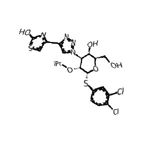 CC(C)O[C@@H]1[C@@H](n2cc(-c3csc(O)n3)nn2)[C@@H](O)[C@@H](CO)O[C@@H]1Sc1ccc(Cl)c(Cl)c1